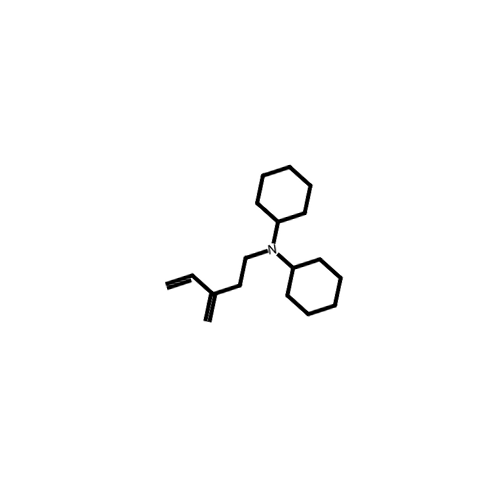 C=CC(=C)CCN(C1CCCCC1)C1CCCCC1